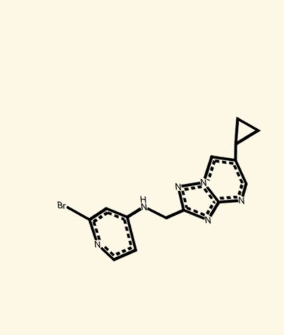 Brc1cc(NCc2nc3ncc(C4CC4)cn3n2)ccn1